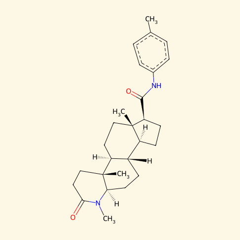 Cc1ccc(NC(=O)[C@H]2CC[C@H]3[C@@H]4CC[C@H]5N(C)C(=O)CC[C@]5(C)[C@H]4CC[C@]23C)cc1